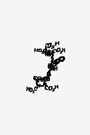 O=C(O)CC[C@H](NC(=O)NC(CCCCNC(=O)[C@H](Cc1ccc2ccccc2c1)NC(=O)C1C2CN(C(=O)CN3CCN(CC(=O)O)CCN(CC(=O)O)CCN(CC(=O)O)CC3)CC21)C(=O)O)C(=O)O